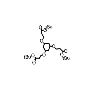 CC(C)(C)OC(=O)CCOC1CC(OCCC(=O)OC(C)(C)C)CC(OCCC(=O)OC(C)(C)C)C1